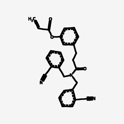 C=CC(=O)Oc1cccc(CCC(=O)N(Cc2ccccc2C#N)Cc2ccccc2C#N)c1